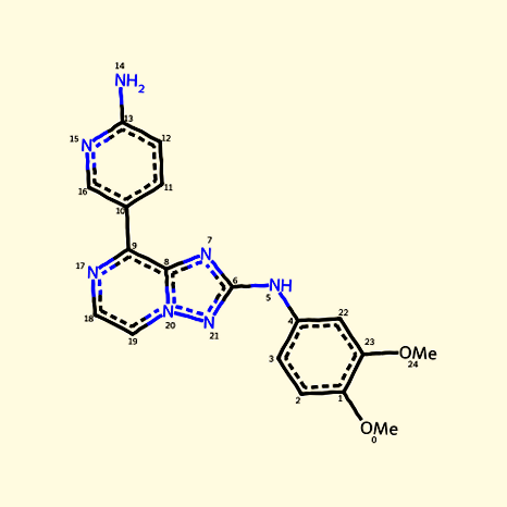 COc1ccc(Nc2nc3c(-c4ccc(N)nc4)nccn3n2)cc1OC